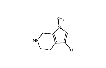 Cn1[c]c(Cl)c2c1CNCC2